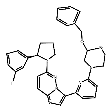 Fc1cccc([C@H]2CCCN2c2ccc3ncc(-c4cccc(N5CC[N]C(OCc6ccccc6)C5)n4)n3n2)c1